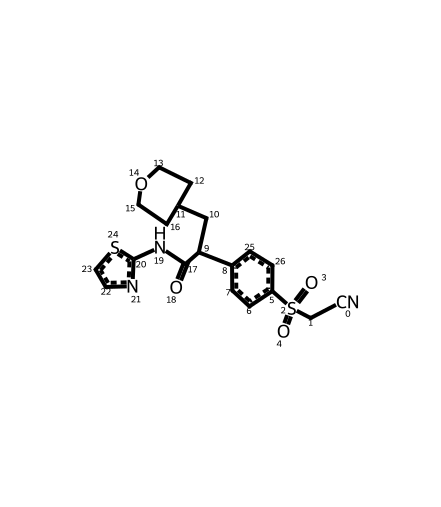 N#CCS(=O)(=O)c1ccc(C(CC2CCOCC2)C(=O)Nc2nccs2)cc1